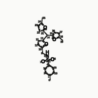 Cc1ccc(S(=O)(=O)NCc2ccc(C(c3ccc(C)o3)c3ccc(C)o3)o2)cc1